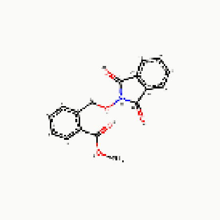 BOC(=O)c1ccccc1CON1C(=O)c2ccccc2C1=O